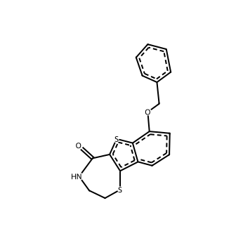 O=C1NCCSc2c1sc1c(OCc3ccccc3)cccc21